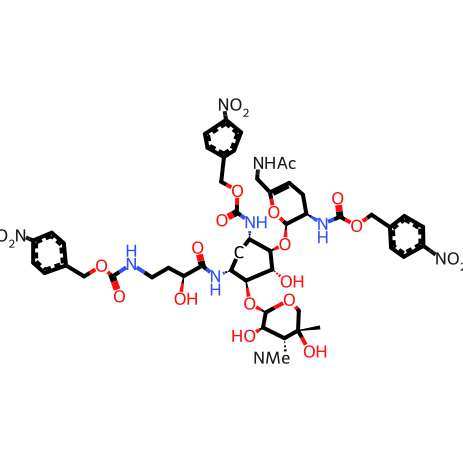 CN[C@@H]1[C@@H](O)[C@@H](O[C@@H]2[C@@H](O)[C@H](O[C@H]3OC(CNC(C)=O)=CC[C@H]3NC(=O)OCc3ccc([N+](=O)[O-])cc3)[C@@H](NC(=O)OCc3ccc([N+](=O)[O-])cc3)C[C@H]2NC(=O)[C@@H](O)CCNC(=O)OCc2ccc([N+](=O)[O-])cc2)OC[C@]1(C)O